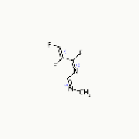 C\N=C/N=C(F)\C(F)=C\F